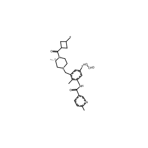 Cc1ccc(C(=O)Nc2cc(F)cc(CN3CCN(C(=O)C4CC(F)C4)[C@@H](C)C3)c2C)cn1.O=CO